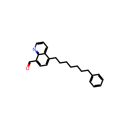 O=Cc1ccc(CCCCCCCc2ccccc2)c2cccnc12